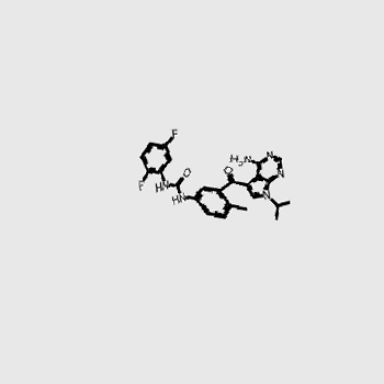 Cc1ccc(NC(=O)Nc2cc(F)ccc2F)cc1C(=O)c1cn(C(C)C)c2ncnc(N)c12